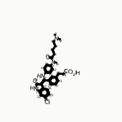 CN(C)CCCCC(=O)N(C)c1ccc(N/C(=C2\C(=O)Nc3cc(Cl)ccc32)c2cccc(CCC(=O)O)c2)cc1